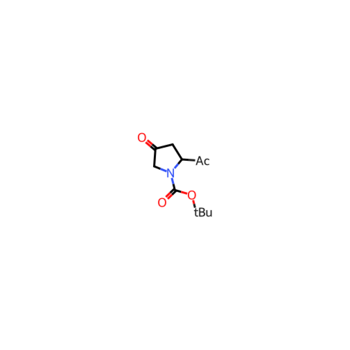 CC(=O)C1CC(=O)CN1C(=O)OC(C)(C)C